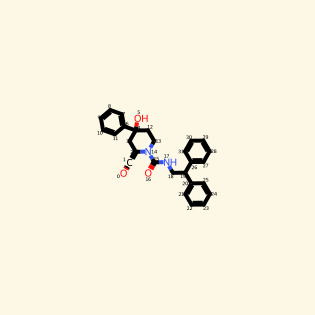 O=C=C1CC(O)(c2ccccc2)CCN1C(=O)NCC(c1ccccc1)c1ccccc1